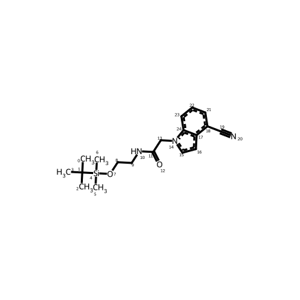 CC(C)(C)[Si](C)(C)OCCNC(=O)Cn1ccc2c(C#N)cccc21